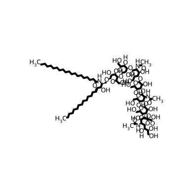 CCCCCCCCCCCCC/C=C/[C@@H](O)[C@H](CO[C@@H]1OC(CO)[C@@H](O[C@@H]2OC(CO)[C@H](O)[C@H](O[C@@H]3OC(CO)[C@@H](O[C@@H]4OC(CO)[C@H](O)[C@H](O[C@@H]5OC(CO)[C@@H](O)[C@H](O[C@@H]6OC(CO)[C@H](O)[C@H](O[C@]7(C(=O)O)CC(O)[C@@H](NC(C)=O)C([C@H](O)[C@H](O)CO)O7)C6O)C5NC(C)=O)C4O)[C@H](O)C3NC(C)=O)C2O)[C@H](O)C1O)NC(=O)CCCCCCCCCCCCCCCCCCC